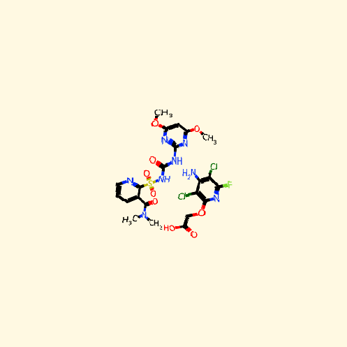 COc1cc(OC)nc(NC(=O)NS(=O)(=O)c2ncccc2C(=O)N(C)C)n1.Nc1c(Cl)c(F)nc(OCC(=O)O)c1Cl